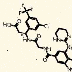 O=C(O)C[C@H](NC(=O)CNC(=O)c1cc(NC2=NCCCN2)c2cn[nH]c2c1)c1cc(Cl)cc(C(F)(F)F)c1